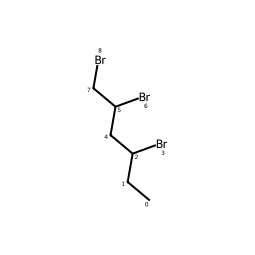 CCC(Br)CC(Br)CBr